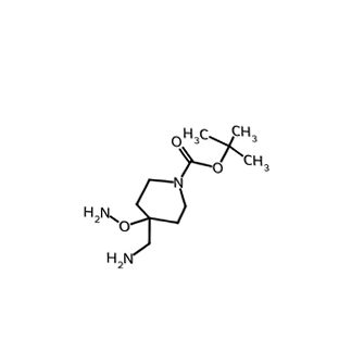 CC(C)(C)OC(=O)N1CCC(CN)(ON)CC1